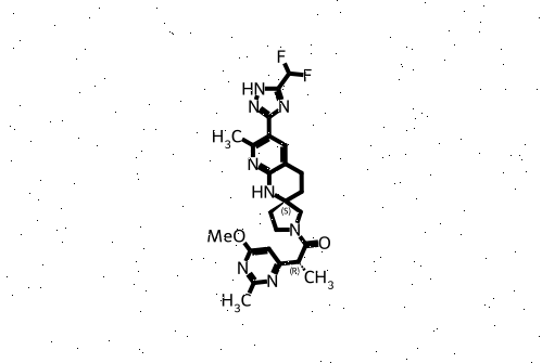 COc1cc([C@@H](C)C(=O)N2CC[C@@]3(CCc4cc(-c5n[nH]c(C(F)F)n5)c(C)nc4N3)C2)nc(C)n1